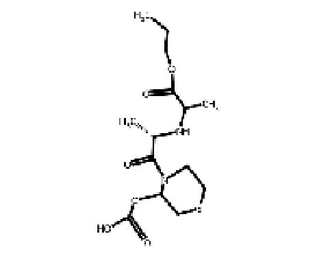 CCCOC(=O)C(C)N[C@@H](C)C(=O)N1CCSCC1OC(=O)O